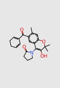 Cc1cc2c(cc1C(=O)C1=CCCC=C1)C(N1CCCC1=O)=C(O)C(C)(C)O2